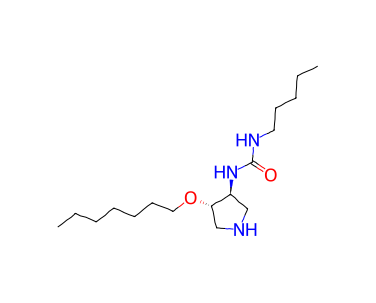 CCCCCCCO[C@H]1CNC[C@@H]1NC(=O)NCCCCC